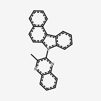 Cc1nc2ccccc2nc1-n1c2ccccc2c2c3ccccc3ccc21